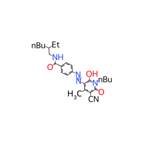 CCCCC(CC)CNC(=O)c1ccc(/N=N/c2c(C)c(C#N)c(=O)n(CCCC)c2O)cc1